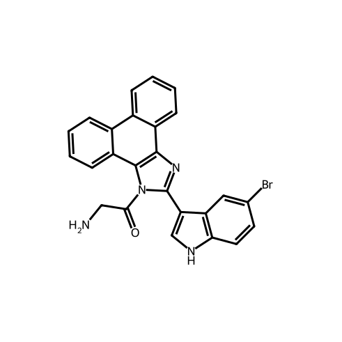 NCC(=O)n1c(-c2c[nH]c3ccc(Br)cc23)nc2c3ccccc3c3ccccc3c21